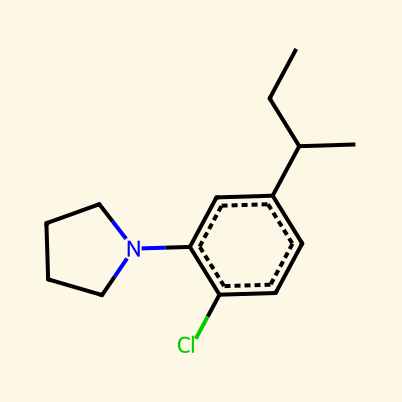 CCC(C)c1ccc(Cl)c(N2CCCC2)c1